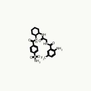 Nc1ccc(C(F)(F)F)cc1C(=O)NCC(=O)NC1CCCCC1NC(=O)c1ccc(S(N)(=O)=O)cc1